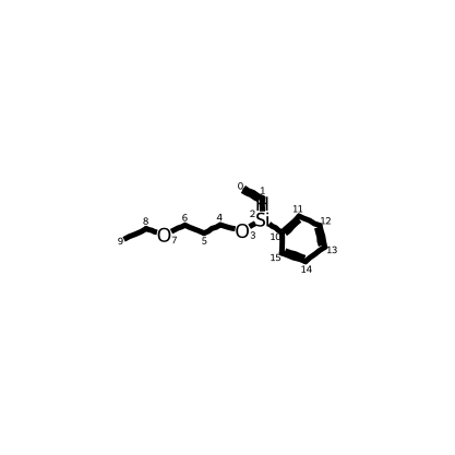 C=C[SiH](OCCCOCC)c1ccccc1